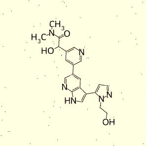 CN(C)C(=O)C(O)c1cncc(-c2cnc3[nH]cc(-c4ccnn4CCO)c3c2)c1